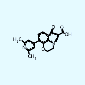 Cc1cc(-c2ccc3c(=O)c(C(=O)O)cn4c3c2OCC4)cc(C)n1